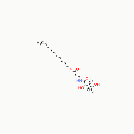 CCCCCCCCCCCCOC(=O)CCNC(=O)C(O)C(C)(C)CO